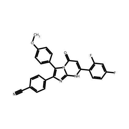 COc1ccc(-c2c(-c3ccc(C#N)cc3)nc3[nH]c(-c4ccc(F)cc4F)cc(=O)n23)cc1